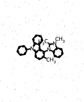 Cc1ccc2c(c1N1c3ccccc3N(C)[C@@H]1C)c1ccccc1n2-c1ccccc1